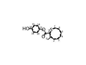 Cc1ccccccsc1C(=O)Oc1ccc(O)cc1